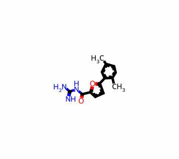 Cc1ccc(C)c(-c2ccc(C(=O)NC(=N)N)o2)c1